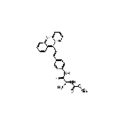 C[C@H](NC(=O)OC(C)(C)C)C(=O)Nc1ccc(C=Cc2c3ccccc3nc3ccccc23)cc1